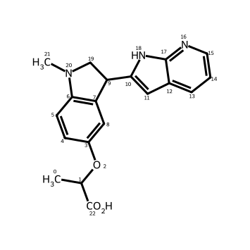 CC(Oc1ccc2c(c1)C(c1cc3cccnc3[nH]1)CN2C)C(=O)O